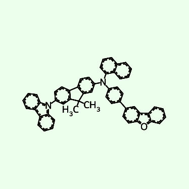 CC1(C)c2cc(N(c3ccc(-c4ccc5oc6ccccc6c5c4)cc3)c3cccc4ccccc34)ccc2-c2ccc(-n3c4ccccc4c4ccccc43)cc21